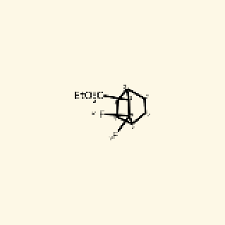 CCOC(=O)C1C2CCC(CC2)C1(F)F